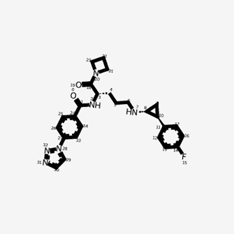 O=C(N[C@@H](CCCN[C@@H]1C[C@H]1c1ccc(F)cc1)C(=O)N1CCC1)c1ccc(-n2ccnn2)cc1